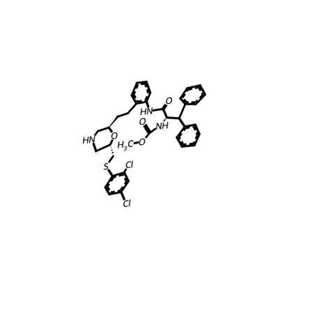 COC(=O)N[C@H](C(=O)Nc1ccccc1CC[C@@H]1CNC[C@@H](CSc2ccc(Cl)cc2Cl)O1)C(c1ccccc1)c1ccccc1